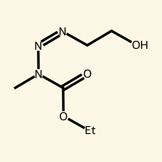 CCOC(=O)N(C)/N=N\CCO